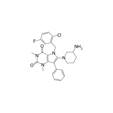 Cn1c(=O)c2c(c(-c3ccccc3)c(N3CCCC(N)C3)n2Cc2cc(F)ccc2Cl)n(C)c1=O